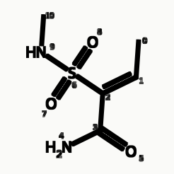 CC=C(C(N)=O)S(=O)(=O)NC